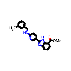 COC(=O)c1cccc2nc(-c3ccc(NCc4cccc(C)c4)nc3)[nH]c12